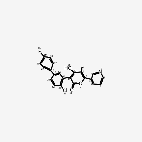 Cc1c(-c2cccnc2)oc(=O)c(-c2cc(-c3ccc(F)cc3)ccc2Cl)c1O